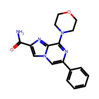 NC(=O)c1cn2cc(-c3ccccc3)nc(N3CCOCC3)c2n1